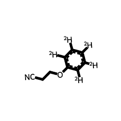 [2H]c1c([2H])c([2H])c(OCCC#N)c([2H])c1[2H]